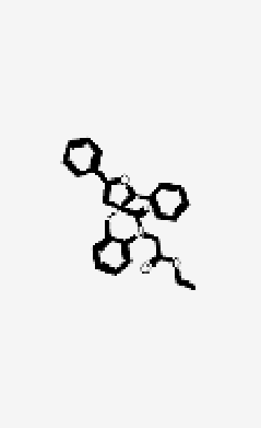 CCOC(=O)CN1C(=O)[C@]2(C=C(c3ccccc3)O[C@H]2c2ccccc2)Cc2ccccc21